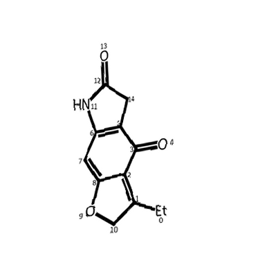 CCC1=C2C(=O)C3=C(C=C2OC1)NC(=O)C3